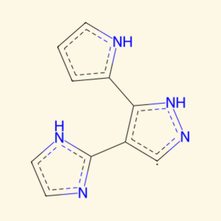 [c]1n[nH]c(-c2ccc[nH]2)c1-c1ncc[nH]1